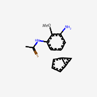 COc1c(N)cccc1NC(C)=S.c1cc2cc-2c1